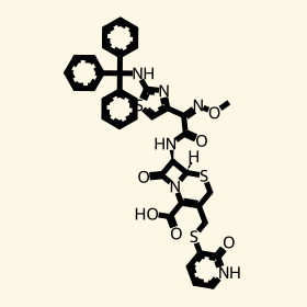 CO/N=C(\C(=O)N[C@@H]1C(=O)N2C(C(=O)O)=C(CSc3ccc[nH]c3=O)CS[C@H]12)c1csc(NC(c2ccccc2)(c2ccccc2)c2ccccc2)n1